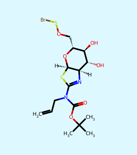 C=CCN(C(=O)OC(C)(C)C)C1=N[C@@H]2[C@@H](O)[C@H](O)[C@@H](COSBr)O[C@@H]2S1